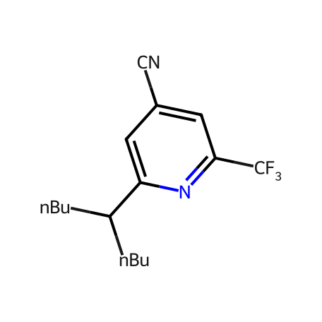 CCCCC(CCCC)c1cc(C#N)cc(C(F)(F)F)n1